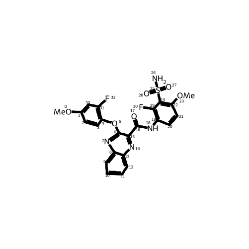 COc1ccc(Oc2nc3ccccc3nc2C(=O)Nc2ccc(OC)c(S(N)(=O)=O)c2F)c(F)c1